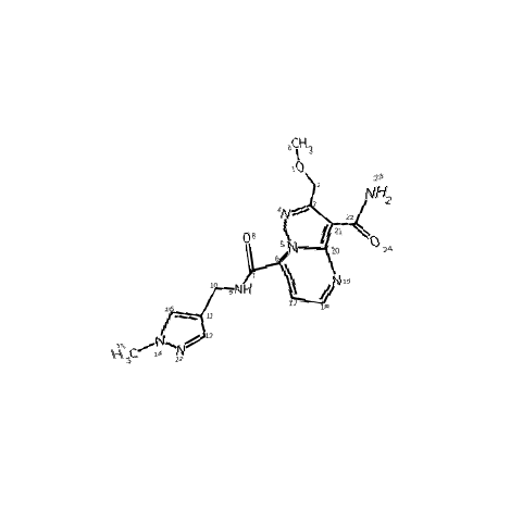 COCc1nn2c(C(=O)NCc3cnn(C)c3)ccnc2c1C(N)=O